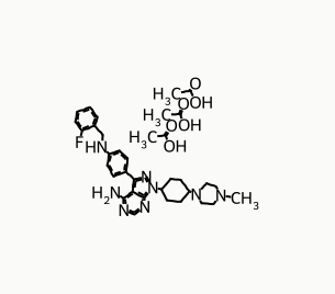 CC(=O)O.CC(=O)O.CC(=O)O.CN1CCN(C2CCC(n3nc(-c4ccc(NCc5ccccc5F)cc4)c4c(N)ncnc43)CC2)CC1